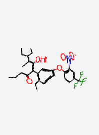 CCCC(=O)/C(=C(/O)C(C)C(CC)CC)c1cc(Oc2ccc(C(F)(F)F)cc2[N+](=O)[O-])ccc1CC